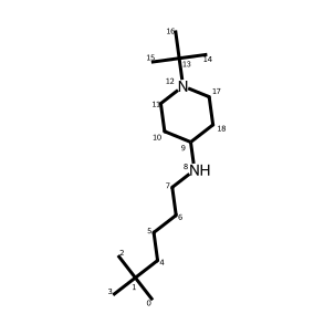 CC(C)(C)CCCCNC1CCN(C(C)(C)C)CC1